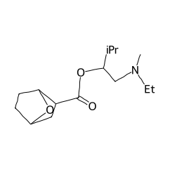 CCN(C)CC(OC(=O)C1CC2CCC1O2)C(C)C